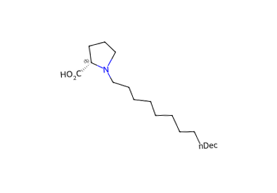 CCCCCCCCCCCCCCCCCCN1CCC[C@H]1C(=O)O